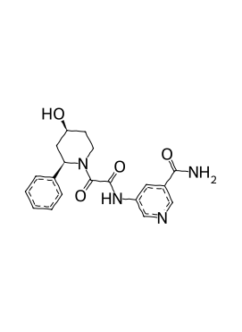 NC(=O)c1cncc(NC(=O)C(=O)N2CC[C@H](O)C[C@@H]2c2ccccc2)c1